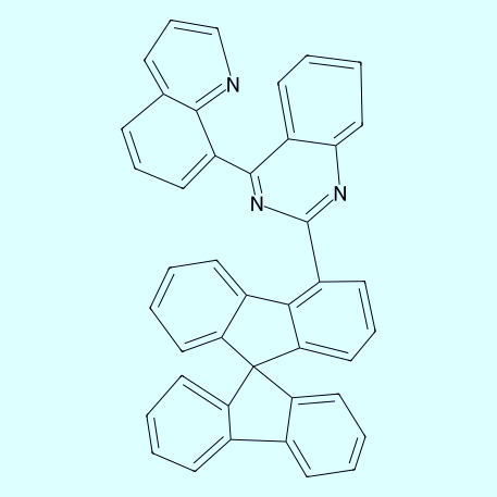 c1ccc2c(c1)-c1ccccc1C21c2ccccc2-c2c(-c3nc(-c4cccc5cccnc45)c4ccccc4n3)cccc21